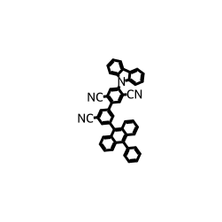 N#Cc1cc(-c2cc(C#N)c(-n3c4ccccc4c4ccccc43)cc2C#N)cc(-c2c3ccccc3c(-c3ccccc3)c3ccccc23)c1